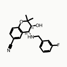 CC1(C)Oc2ccc(C#N)cc2[C@@H](NCc2cccc(F)c2)[C@@H]1O